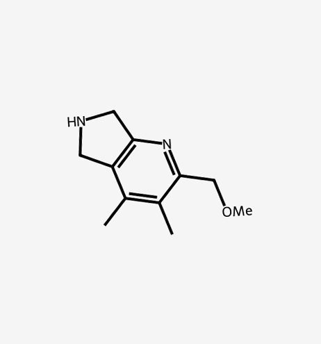 COCc1nc2c(c(C)c1C)CNC2